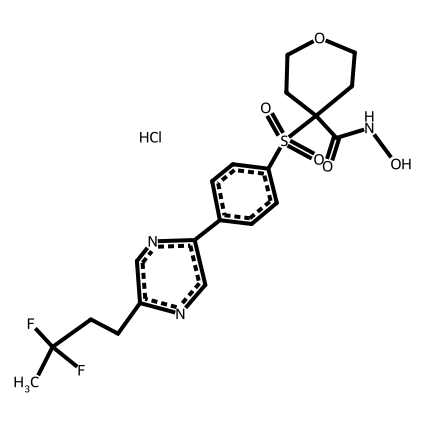 CC(F)(F)CCc1cnc(-c2ccc(S(=O)(=O)C3(C(=O)NO)CCOCC3)cc2)cn1.Cl